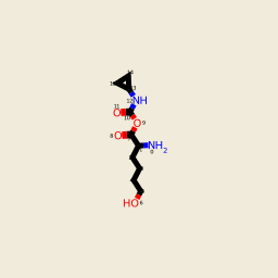 NC(CCCCO)C(=O)OC(=O)NC1CC1